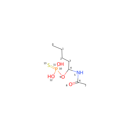 CCCCC(NC(C)=O)OP(O)(O)=S